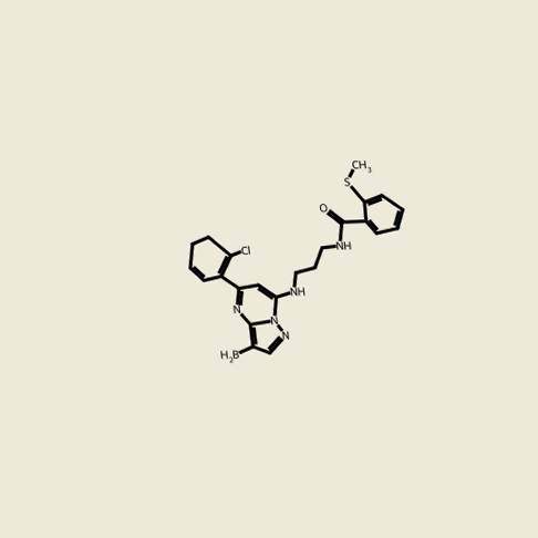 Bc1cnn2c(NCCCNC(=O)c3ccccc3SC)cc(C3=C(Cl)CCC=C3)nc12